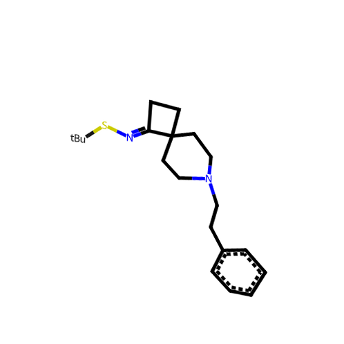 CC(C)(C)S/N=C1\CCC12CCN(CCc1ccccc1)CC2